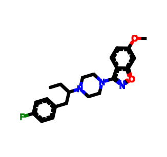 CCC(Cc1ccc(F)cc1)N1CCN(c2noc3cc(OC)ccc23)CC1